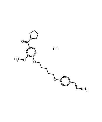 COc1cc(C(=O)N2CCCC2)ccc1OCCCCCOc1ccc(C=NN)cc1.Cl